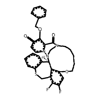 O=C1c2c(OCc3ccccc3)c(=O)ccn2N2CN1CCCCCOc1cc(F)c(F)c3c1[C@H]2c1ccccc1SC3